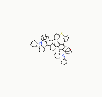 c1ccc(-n2c3ccccc3c3cccc(-c4c5ccccc5c(-c5ccc6sc7cccc(-c8c9ccccc9c(-c9cccc%10c%11ccccc%11n(-c%11ccccc%11)c9%10)c9ccccc89)c7c6c5)c5ccccc45)c32)cc1